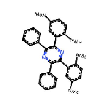 CNc1ccc(NC)c(-c2nc(-c3cc(NC)ccc3NC)c(-c3ccccc3)nc2-c2ccccc2)c1